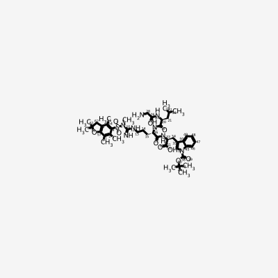 Cc1c(C)c(S(=O)(=O)N(C)C(=N)NCCC[C@H](NC(=O)[C@H](CC(C)C)NC(=O)CN)C(=O)N[C@@H](Cc2cn(C(=O)OC(C)(C)C)c3ccccc23)C(=O)O)c(C)c2c1OC(C)(C)C2